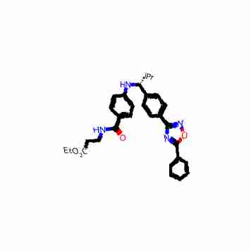 CCOC(=O)CCNC(=O)c1ccc(N[C@@H](c2ccc(-c3noc(-c4ccccc4)n3)cc2)C(C)C)cc1